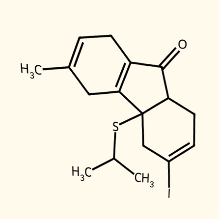 CC1=CCC2=C(C1)C1(SC(C)C)CC(I)=CCC1C2=O